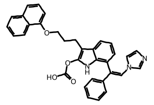 O=C(O)Oc1[nH]c2c(/C(=C\n3ccnc3)c3ccccc3)cccc2c1CCCOc1cccc2ccccc12